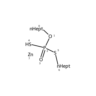 CCCCCCCOP(=O)(S)SCCCCCCC.[Zn]